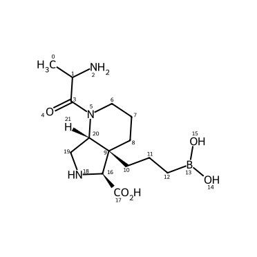 CC(N)C(=O)N1CCC[C@]2(CCCB(O)O)[C@@H](C(=O)O)NC[C@H]12